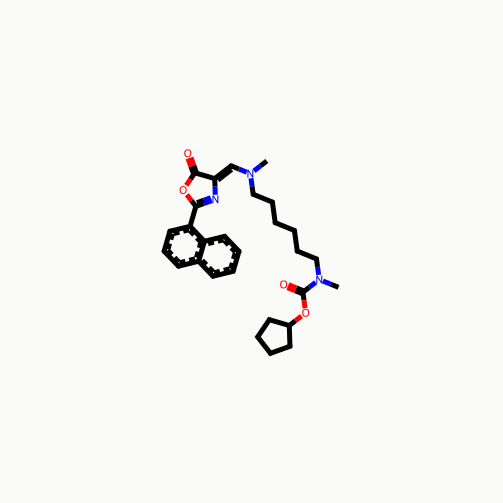 CN(C=C1N=C(c2cccc3ccccc23)OC1=O)CCCCCCN(C)C(=O)OC1CCCC1